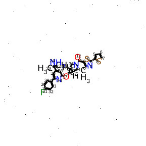 Cc1nc(-c2cccs2)sc1C(=O)N1C[C@@H]2C(Oc3cc(C(C)(C)N)cc(-c4ccc(F)cc4)n3)[C@@H]2C1